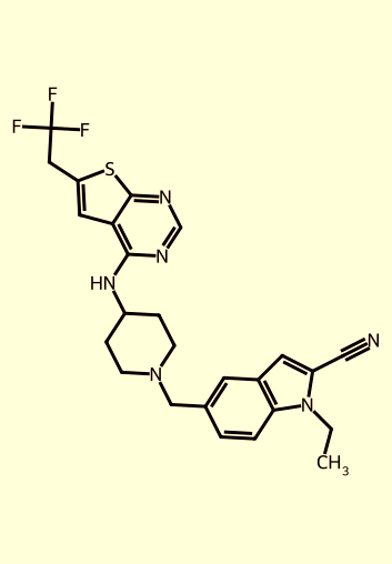 CCn1c(C#N)cc2cc(CN3CCC(Nc4ncnc5sc(CC(F)(F)F)cc45)CC3)ccc21